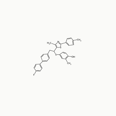 Cc1ccc(-c2nc(C)c(C(Cc3ccc(-c4ccc(F)cc4)cc3)Sc3ccc(O)c(C)c3)s2)cc1